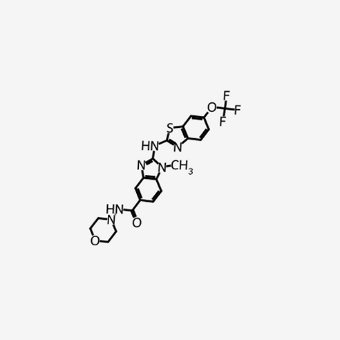 Cn1c(Nc2nc3ccc(OC(F)(F)F)cc3s2)nc2cc(C(=O)NN3CCOCC3)ccc21